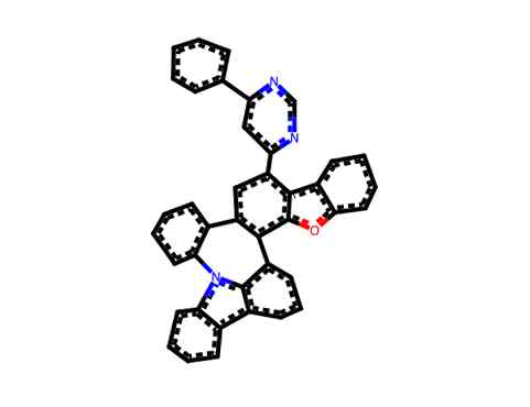 c1ccc(-c2cc(-c3cc4c(c5oc6ccccc6c35)-c3cccc5c6ccccc6n(c35)-c3ccccc3-4)ncn2)cc1